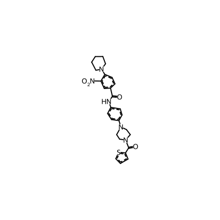 O=C(Nc1ccc(N2CCN(C(=O)c3cccs3)CC2)cc1)c1ccc(N2CCCCC2)c([N+](=O)[O-])c1